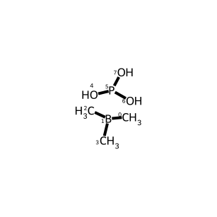 CB(C)C.OP(O)O